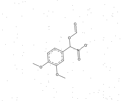 COc1ccc(C(OC=O)[N+](=O)[O-])cc1OC